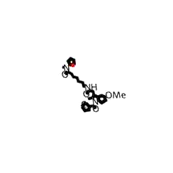 COc1ccc2c(c1)c(CC(=O)NCCCCCCC(=O)N(C)c1ccccc1)c(C)n2C(=O)c1ccccc1